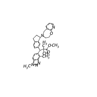 COC(=O)C(C)(C)C(c1ccc2c(c1)C(N1CCOc3ncccc3C1)CC2)c1ccc2c(nnn2C)c1C